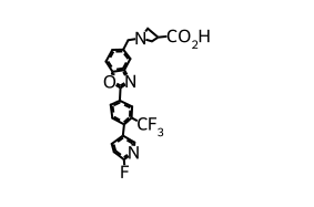 O=C(O)C1CN(Cc2ccc3oc(-c4ccc(-c5ccc(F)nc5)c(C(F)(F)F)c4)nc3c2)C1